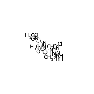 [2H]C([2H])([2H])n1nnc(-c2nc(Cl)ccc2NC(C)c2cc(C)cc3c(=O)n(C)c4c(C5CCN(S(C)(=O)=O)CC5)ncn4c23)n1